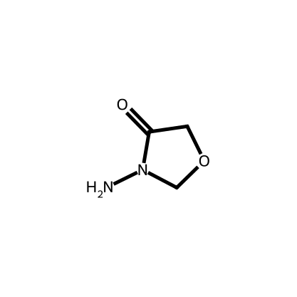 NN1COCC1=O